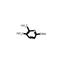 COc1ccc(C(=O)O)c(C(=O)O)n1